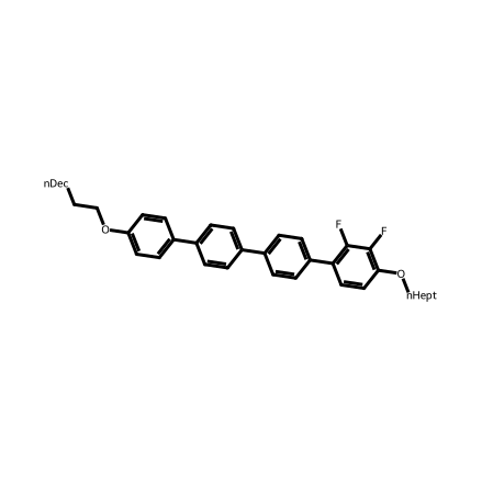 CCCCCCCCCCCCOc1ccc(-c2ccc(-c3ccc(-c4ccc(OCCCCCCC)c(F)c4F)cc3)cc2)cc1